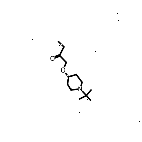 CCC(=O)COC1CCN(C(C)(C)C)CC1